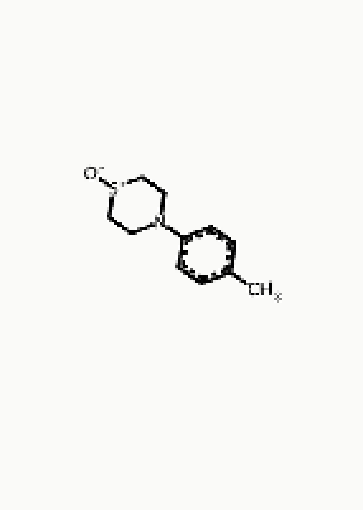 Cc1ccc(N2CC[S+]([O-])CC2)cc1